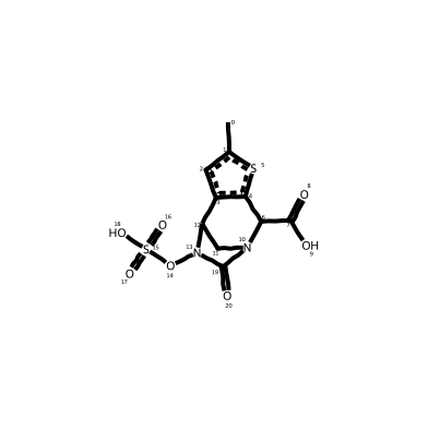 Cc1cc2c(s1)C(C(=O)O)N1CC2N(OS(=O)(=O)O)C1=O